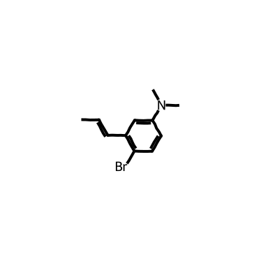 CC=Cc1cc(N(C)C)ccc1Br